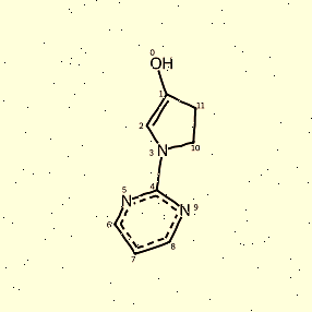 OC1=CN(c2ncccn2)CC1